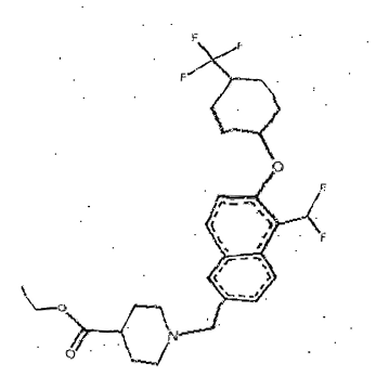 CCOC(=O)C1CCN(Cc2ccc3c(C(F)F)c(OC4CCC(C(F)(F)F)CC4)ccc3c2)CC1